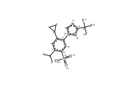 CC(C)c1cc(C2CC2)c(-n2cnc(C(F)(F)F)n2)cc1S(=O)(=O)Cl